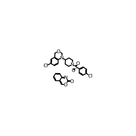 O=S(=O)(c1ccc(Cl)cc1)N1CCC(N2COCc3cc(Cl)ccc32)CC1.O=c1nc2ccccc2co1